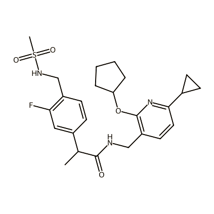 CC(C(=O)NCc1ccc(C2CC2)nc1OC1CCCC1)c1ccc(CNS(C)(=O)=O)c(F)c1